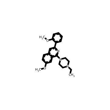 CCN1CCN(c2nc(-c3ccccc3OC)cc3ccc(OC)cc23)CC1